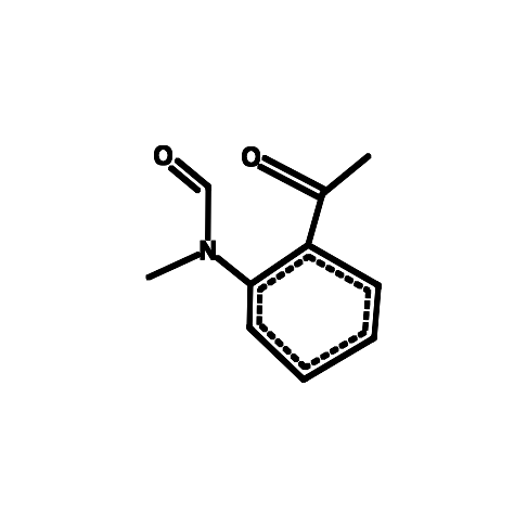 CC(=O)c1ccccc1N(C)C=O